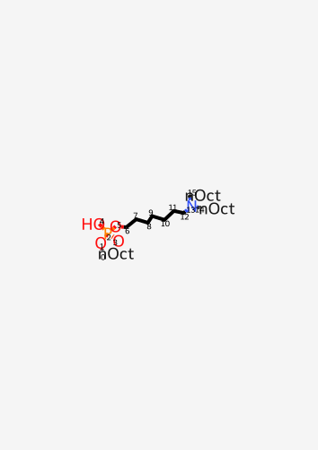 CCCCCCCCOP(=O)(O)OCCCCCCCN(CCCCCCCC)CCCCCCCC